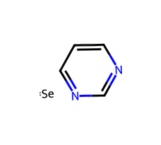 [Se].c1cncnc1